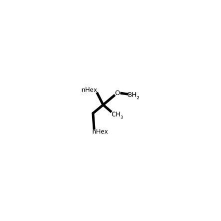 BOC(C)(CCCCCC)CCCCCCC